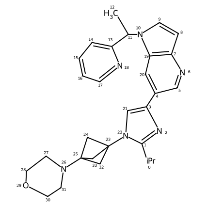 CC(C)c1nc(-c2cnc3ccn(C(C)c4ccccn4)c3c2)cn1C12CC(N3CCOCC3)(C1)C2